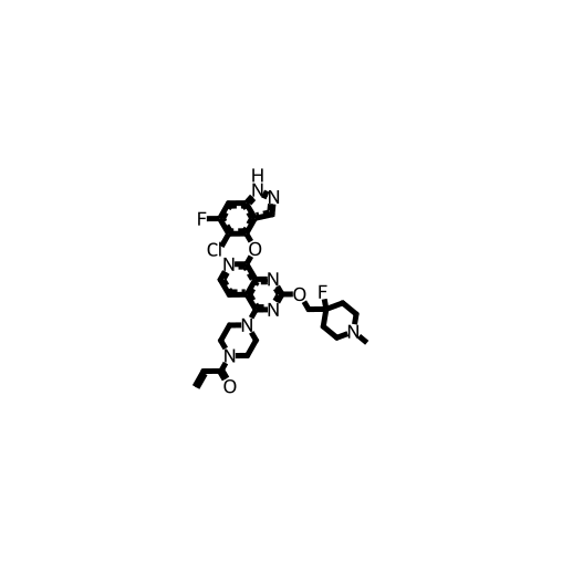 C=CC(=O)N1CCN(c2nc(OCC3(F)CCN(C)CC3)nc3c(Oc4c(Cl)c(F)cc5[nH]ncc45)nccc23)CC1